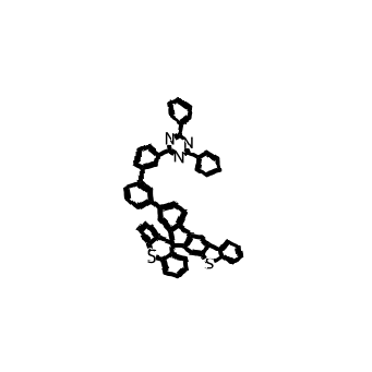 c1ccc(-c2nc(-c3ccccc3)nc(-c3cccc(-c4cccc(-c5ccc6c(c5)C5(c7ccccc7Sc7ccccc75)c5cc7sc8ccccc8c7cc5-6)c4)c3)n2)cc1